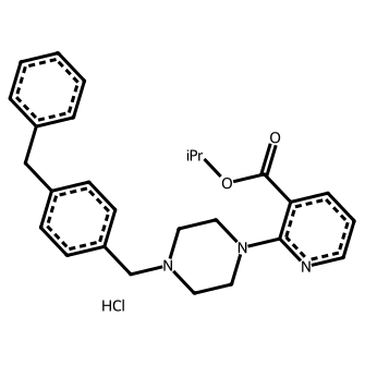 CC(C)OC(=O)c1cccnc1N1CCN(Cc2ccc(Cc3ccccc3)cc2)CC1.Cl